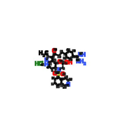 Cc1[nH]c2ccc(N(CC(=O)O)S(=O)(=O)c3cccc4cnccc34)cc2c1C(=O)CCc1ccc(C(=N)N)cc1.Cl